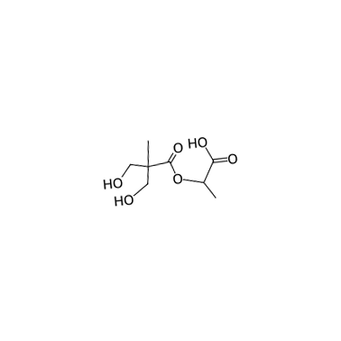 CC(OC(=O)C(C)(CO)CO)C(=O)O